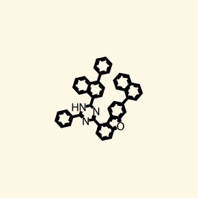 c1ccc(C2=NC(c3cccc4oc5cc(-c6cccc7ccccc67)ccc5c34)=NC(c3ccc(-c4ccccc4)c4ccccc34)N2)cc1